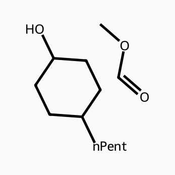 CCCCCC1CCC(O)CC1.COC=O